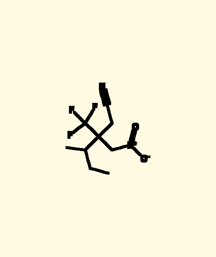 CCC(C)C(CC#N)(C[N+](=O)[O-])C(F)(F)F